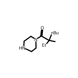 CCCCC(C)(CC)C(=O)N1CCNCC1